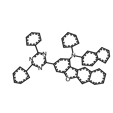 c1ccc(-c2nc(-c3ccccc3)nc(-c3cc(N(c4ccccc4)c4ccc5ccccc5c4)c4c(c3)oc3cc5ccccc5cc34)n2)cc1